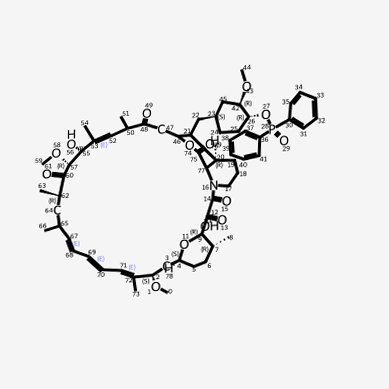 CO[C@H]1C[C@@H]2CC[C@@H](C)[C@@](O)(O2)C(=O)C(=O)N2CCC[C@@H]3C(C[C@@H]4CC[C@@H](OP(=O)(c5ccccc5)c5ccccc5)[C@H](OC)C4)C(CC(=O)C(C)/C=C(\C)[C@@H](O)[C@@H](OC)C(=O)[C@H](C)CC(C)/C=C/C=C/C=C/1C)OC(=O)C32